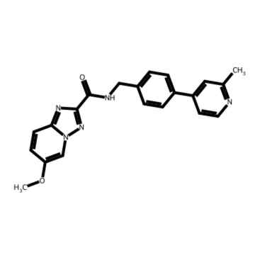 COc1ccc2nc(C(=O)NCc3ccc(-c4ccnc(C)c4)cc3)nn2c1